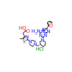 Cc1sc(N2CCN(C[C@@H]3CCCN(c4nc(N)n5nc(-c6ccco6)nc5n4)C3)CC2)nc1CC(=O)O.Cl